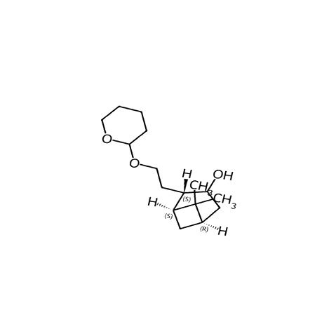 CC1(C)[C@H]2CC(O)[C@@H](CCOC3CCCCO3)[C@@H]1C2